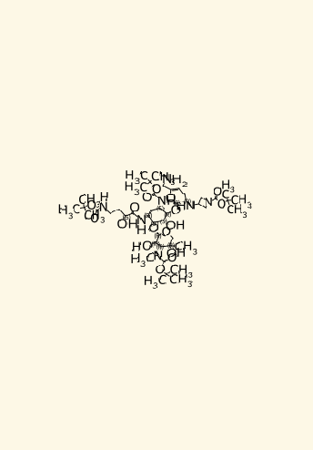 CN(C(=O)OC(C)(C)C)[C@@H]1[C@@H](O)[C@@H](O[C@@H]2[C@@H](O)[C@H](O[C@H]3OC(CN)=CC[C@H]3NC3CN(C(=O)OC(C)(C)C)C3)[C@@H](NC(=O)OC(C)(C)C)C[C@H]2NC(=O)[C@@H](O)CCNC(=O)OC(C)(C)C)OC[C@]1(C)O